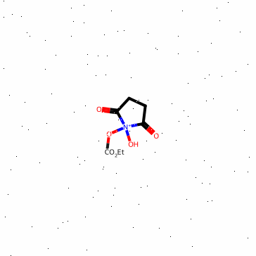 CCOC(=O)O[N+]1(O)C(=O)CCC1=O